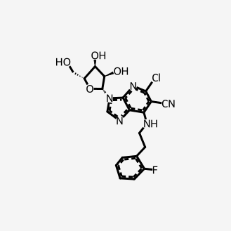 N#Cc1c(Cl)nc2c(ncn2[C@@H]2O[C@H](CO)[C@@H](O)[C@H]2O)c1NCCc1ccccc1F